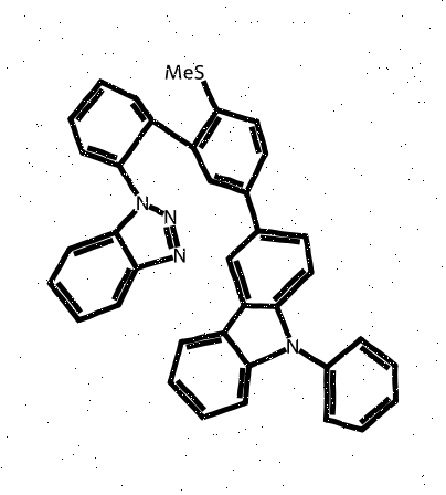 CSc1ccc(-c2ccc3c(c2)c2ccccc2n3-c2ccccc2)cc1-c1ccccc1-n1nnc2ccccc21